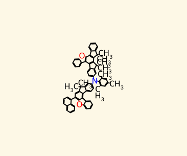 Cc1cc(C)c(N(c2ccc3c(c2)C(C)(C)c2cc(-c4cccc5ccccc45)c4oc5ccccc5c4c2-3)c2ccc3c(c2)C(C)(C)c2c4c(c5oc6ccccc6c5c2-3)-c2ccccc2C4(C)C)c(C)c1